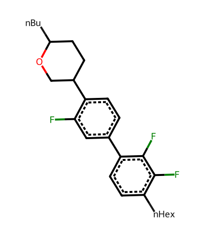 CCCCCCc1ccc(-c2ccc(C3CCC(CCCC)OC3)c(F)c2)c(F)c1F